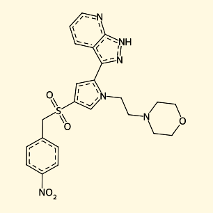 O=[N+]([O-])c1ccc(CS(=O)(=O)c2cc(-c3n[nH]c4ncccc34)n(CCN3CCOCC3)c2)cc1